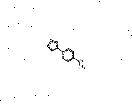 CNc1ccc(-c2ccsc2)cc1